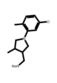 CNCC1CN(c2cc(Cl)ccc2C)CC1C